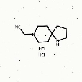 Cl.Cl.N#CCN1CCC2(CCCN2)CC1